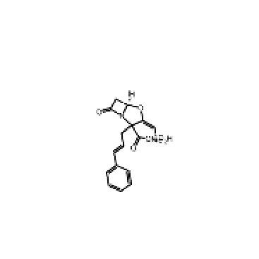 COC(=O)C1(C/C=C/c2ccccc2)/C(=C\C(=O)O)O[C@@H]2CC(=O)N21